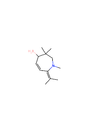 BC1C=CC(=C(C)C)N(C)CC1(C)C